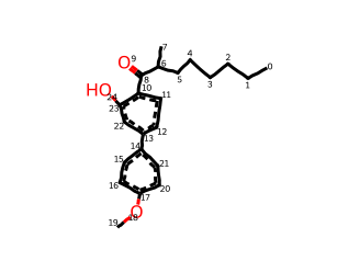 CCCCCCC(C)C(=O)c1ccc(-c2ccc(OC)cc2)cc1O